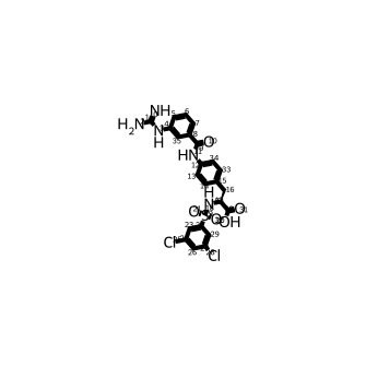 N=C(N)Nc1cccc(C(=O)Nc2ccc(C[C@H](NS(=O)(=O)c3cc(Cl)cc(Cl)c3)C(=O)O)cc2)c1